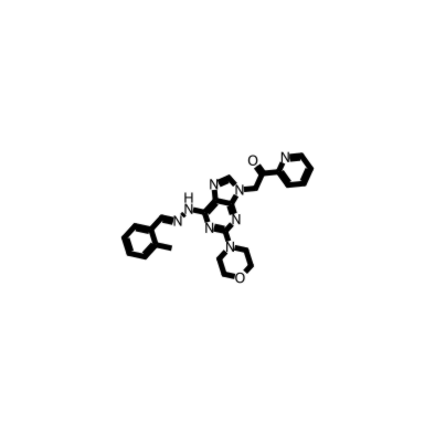 Cc1ccccc1C=NNc1nc(N2CCOCC2)nc2c1ncn2CC(=O)c1ccccn1